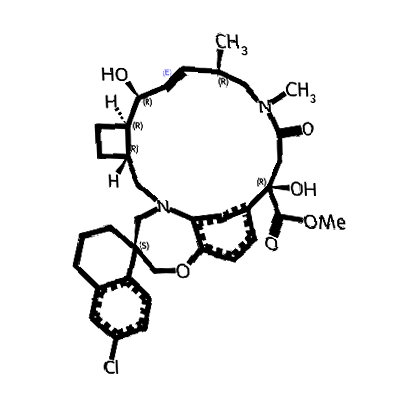 COC(=O)[C@@]1(O)CC(=O)N(C)C[C@H](C)/C=C/[C@H](O)[C@@H]2CC[C@H]2CN2C[C@@]3(CCCc4cc(Cl)ccc43)COc3ccc1cc32